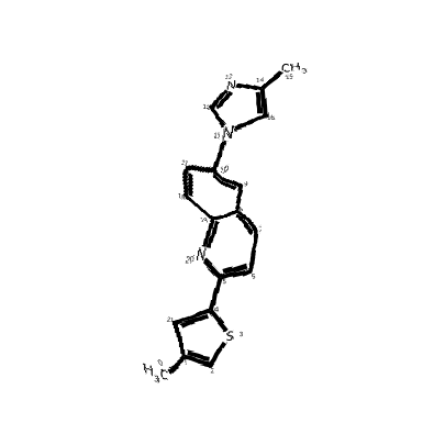 Cc1csc(-c2ccc3cc(-n4cnc(C)c4)ccc3n2)c1